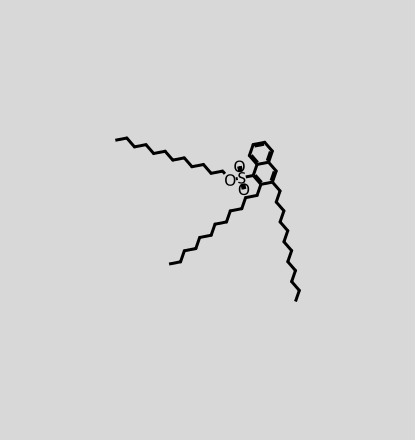 CCCCCCCCCCCCOS(=O)(=O)c1c(CCCCCCCCCCCC)c(CCCCCCCCCCCC)cc2ccccc12